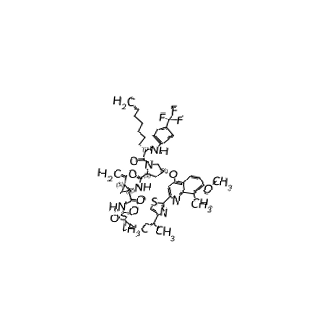 C=CCCCCC[C@H](Nc1ccc(C(F)(F)F)cc1)C(=O)N1C[C@H](Oc2cc(-c3nc(C(C)C)cs3)nc3c(C)c(OC)ccc23)C[C@H]1C(=O)N[C@]1(C(=O)NS(=O)(=O)C2CC2)C[C@H]1C=C